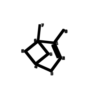 CC1=CCC2CC1(C)C2